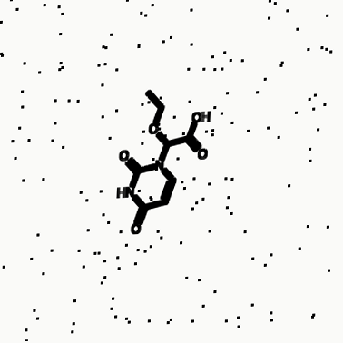 CCOC(C(=O)O)n1ccc(=O)[nH]c1=O